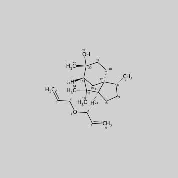 C=CCOCC=C.C[C@@H]1CC[C@H]2C(C)(C)[C@H]3C[C@@]12CC[C@@]3(C)O